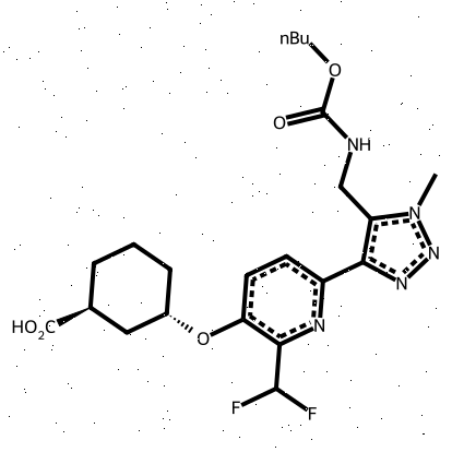 CCCCOC(=O)NCc1c(-c2ccc(O[C@H]3CCC[C@H](C(=O)O)C3)c(C(F)F)n2)nnn1C